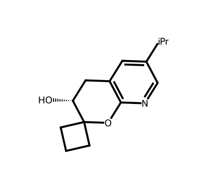 CC(C)c1cnc2c(c1)C[C@@H](O)C1(CCC1)O2